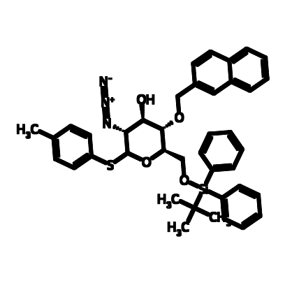 Cc1ccc(SC2O[C@H](CO[Si](c3ccccc3)(c3ccccc3)C(C)(C)C)[C@@H](OCc3ccc4ccccc4c3)[C@H](O)[C@H]2N=[N+]=[N-])cc1